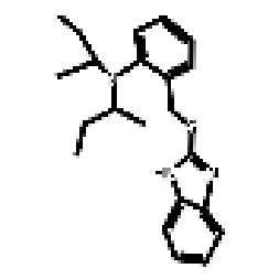 CCC(C)N(c1ccccc1CSc1nc2ccccc2[nH]1)C(C)CC